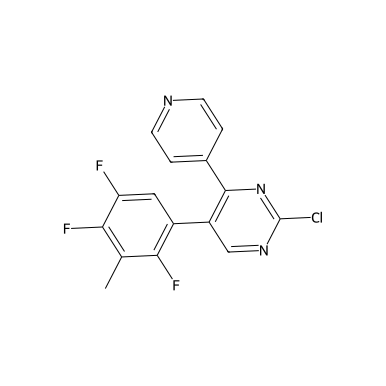 Cc1c(F)c(F)cc(-c2cnc(Cl)nc2-c2ccncc2)c1F